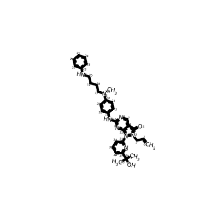 C=CCn1c(=O)c2cnc(Nc3ccc(N(C)CCCCNc4ccccc4)cc3)nc2n1-c1cccc(C(C)(C)O)n1